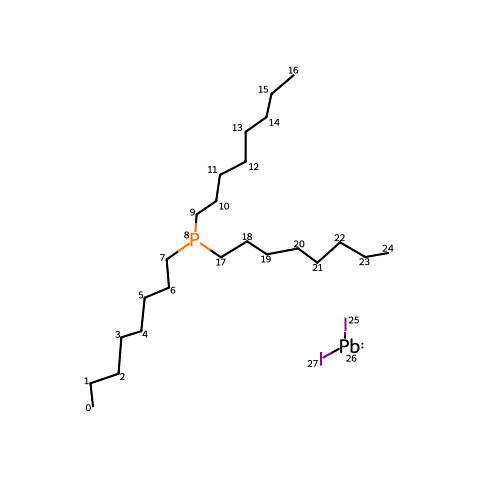 CCCCCCCCP(CCCCCCCC)CCCCCCCC.[I][Pb][I]